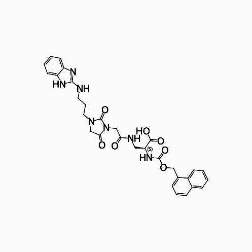 O=C(CN1C(=O)CN(CCCNc2nc3ccccc3[nH]2)C1=O)NC[C@H](NC(=O)OCc1cccc2ccccc12)C(=O)O